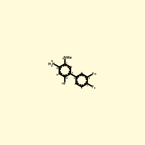 CNc1cc(-c2ccc(F)c(F)c2)c(F)cc1N